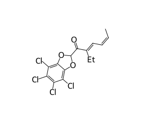 C/C=C\C=C(/CC)C(=O)C1Oc2c(Cl)c(Cl)c(Cl)c(Cl)c2O1